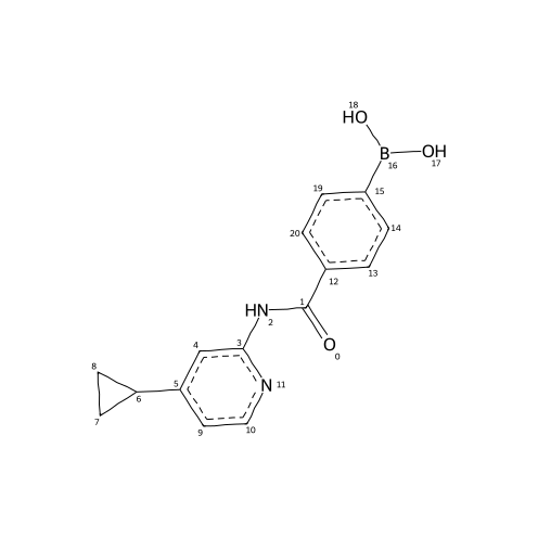 O=C(Nc1cc(C2CC2)ccn1)c1ccc(B(O)O)cc1